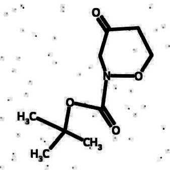 CC(C)(C)OC(=O)N1CC(=O)CCO1